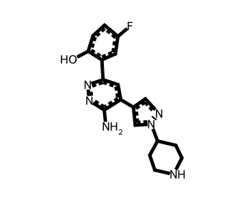 Nc1nnc(-c2cc(F)ccc2O)cc1-c1cnn(C2CCNCC2)c1